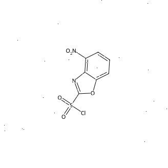 O=[N+]([O-])c1cccc2oc(S(=O)(=O)Cl)nc12